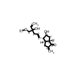 C=CC(O)(CC=C[C@H]1[C@@H]2CC(=C)C(=O)[C@H]2C[C@@H]1O)COCC